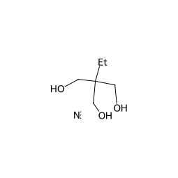 CCC(CO)(CO)CO.[N]